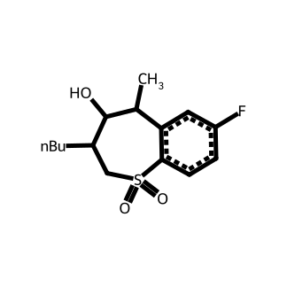 CCCCC1CS(=O)(=O)c2ccc(F)cc2C(C)C1O